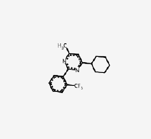 Cc1cc(C2CCCCC2)nc(-c2ccccc2C(F)(F)F)n1